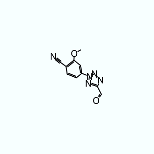 COc1cc(-n2nnc(C=O)n2)ccc1C#N